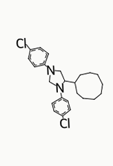 Clc1ccc(N2CC(C3CCCCCCCC3)N(c3ccc(Cl)cc3)C2)cc1